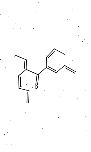 C=C/C=C\C(=C/C)C(=O)C(/C=C\C)=C/C=C